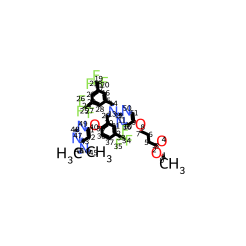 CCOC(=O)CCCOc1cnc(N(Cc2cc(C(F)(F)F)cc(C(F)(F)F)c2)Cc2cc(C(F)(F)F)ccc2Oc2cc(N(C)C)ncn2)nc1